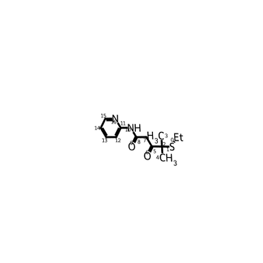 CCSC(C)(C)C(=O)CC(=O)Nc1ccccn1